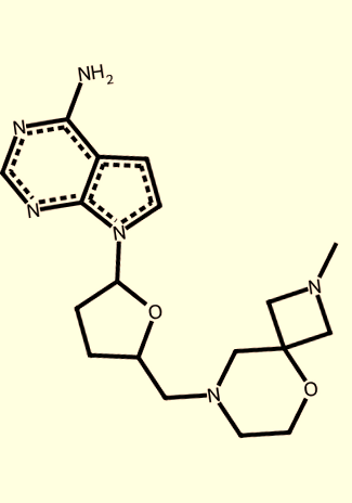 CN1CC2(C1)CN(CC1CCC(n3ccc4c(N)ncnc43)O1)CCO2